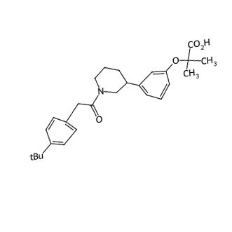 CC(C)(Oc1cccc(C2CCCN(C(=O)Cc3ccc(C(C)(C)C)cc3)C2)c1)C(=O)O